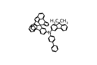 CC1(C)c2ccccc2-c2cc(N(c3ccc(-c4ccccc4)cc3)c3ccc4c(c3)C3(c5ccccc5-4)c4ccccc4-c4cccc5ccc(-c6ccccc6)c3c45)ccc21